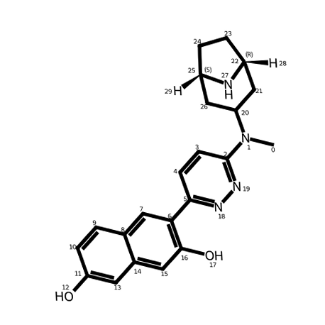 CN(c1ccc(-c2cc3ccc(O)cc3cc2O)nn1)C1C[C@H]2CC[C@@H](C1)N2